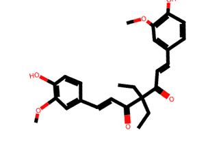 CCC(CC)(C(=O)C=Cc1ccc(O)c(OC)c1)C(=O)C=Cc1ccc(O)c(OC)c1